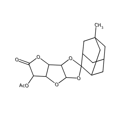 CC(=O)OC1C(=O)OC2C3OC4(OC3OC12)C1CC2CC4CC(C)(C2)C1